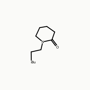 CCC(C)CCN1CCCCC1=O